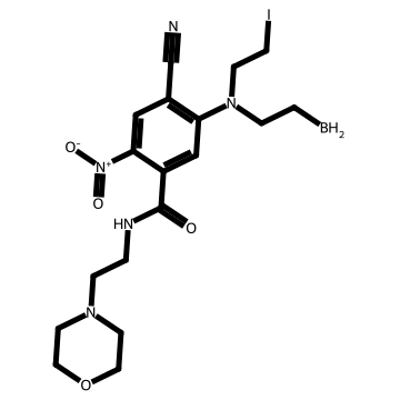 BCCN(CCI)c1cc(C(=O)NCCN2CCOCC2)c([N+](=O)[O-])cc1C#N